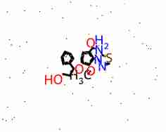 COc1c(OC(CCO)c2ccccc2)ccc(C(N)=O)c1N1CSC=N1